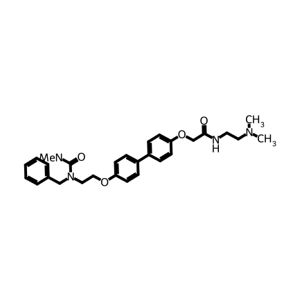 CNC(=O)N(CCOc1ccc(-c2ccc(OCC(=O)NCCN(C)C)cc2)cc1)Cc1ccccc1